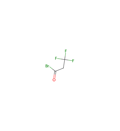 O=C(Br)CC(F)(F)F